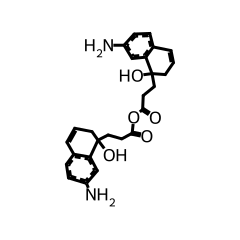 Nc1ccc2c(c1)C(O)(CCC(=O)OC(=O)CCC1(O)CC=Cc3ccc(N)cc31)CC=C2